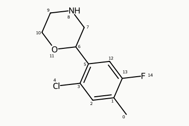 Cc1cc(Cl)c(C2CNCCO2)cc1F